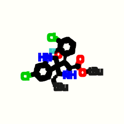 CC(C)(C)C[C@H]1N[C@H](C(=O)OC(C)(C)C)[C@@H](c2cccc(Cl)c2F)C12C(=O)Nc1cc(Cl)ccc12